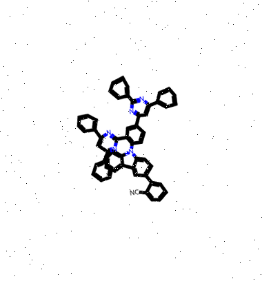 N#Cc1ccccc1-c1ccc2c(c1)c1ccccc1n2-c1ccc(-c2cc(-c3ccccc3)nc(-c3ccccc3)n2)cc1-c1nc(-c2ccccc2)cc(-c2ccccc2)n1